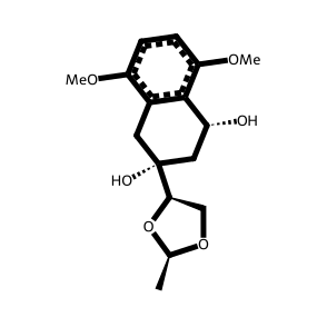 COc1ccc(OC)c2c1C[C@](O)([C@H]1CO[C@@H](C)O1)C[C@H]2O